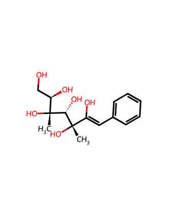 C[C@@](O)([C@H](O)CO)[C@H](O)[C@@](C)(O)C(O)=Cc1ccccc1